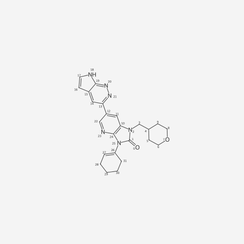 O=c1n(CC2CCOCC2)c2cc(-c3cc4cc[nH]c4nn3)cnc2n1C1=CCCCC1